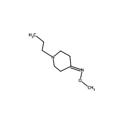 CCCN1CCC(=NOC)CC1